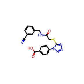 N#Cc1cccc(CNC(=O)CSc2nnnn2-c2ccc(C(=O)O)cc2)c1